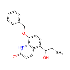 BC[C@H](O)c1ccc(OCc2ccccc2)c2[nH]c(=O)ccc12